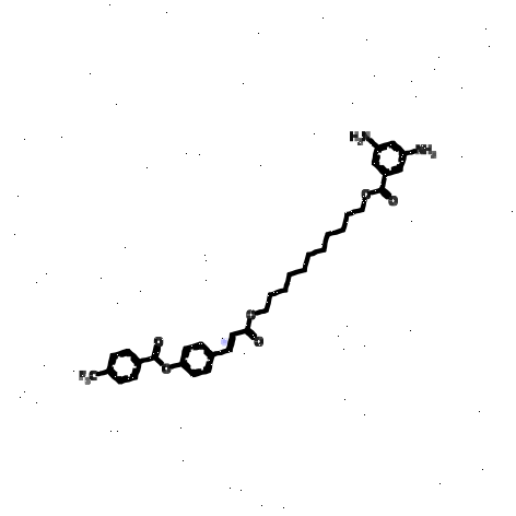 Nc1cc(N)cc(C(=O)OCCCCCCCCCCCOC(=O)/C=C/c2ccc(OC(=O)c3ccc(C(F)(F)F)cc3)cc2)c1